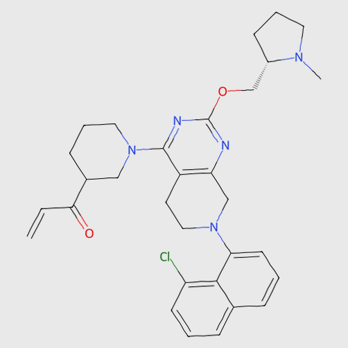 C=CC(=O)C1CCCN(c2nc(OC[C@@H]3CCCN3C)nc3c2CCN(c2cccc4cccc(Cl)c24)C3)C1